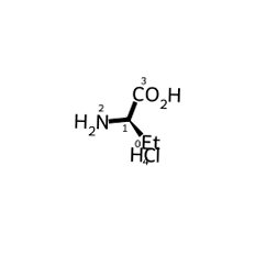 CC[C@@H](N)C(=O)O.Cl